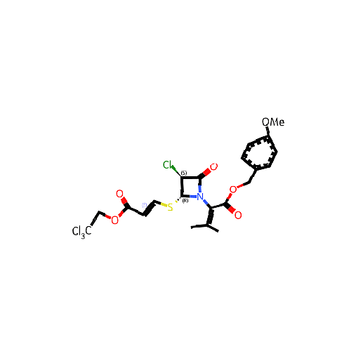 COc1ccc(COC(=O)C(=C(C)C)N2C(=O)[C@H](Cl)[C@H]2S/C=C/C(=O)OCC(Cl)(Cl)Cl)cc1